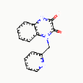 O=c1[nH]c2ccccc2n(Cc2ccccn2)c1=O